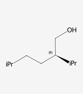 CC(C)CC[C@@H](CO)C(C)C